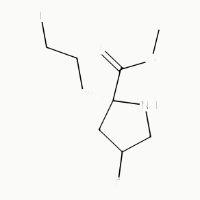 COC(=O)[C@]1(CCCI)CC(F)CN1